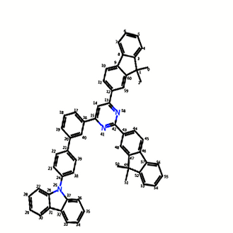 CC1(C)c2ccccc2-c2ccc(-c3cc(-c4cccc(-c5ccc(-n6c7ccccc7c7ccccc76)cc5)c4)nc(-c4ccc5c(c4)C(C)(C)c4ccccc4-5)n3)cc21